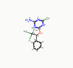 Nc1nc(Cl)nc(OC(c2ccccc2)C(F)(F)F)n1